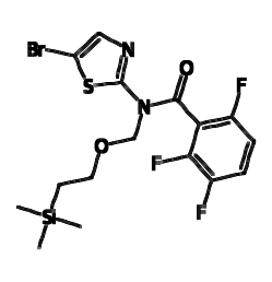 C[Si](C)(C)CCOCN(C(=O)c1c(F)ccc(F)c1F)c1ncc(Br)s1